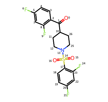 O=C(c1ccc(F)cc1F)C1CCN(S(=O)(=O)c2ccc(F)cc2F)CC1